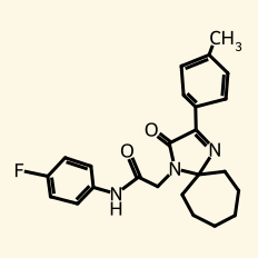 Cc1ccc(C2=NC3(CCCCCC3)N(CC(=O)Nc3ccc(F)cc3)C2=O)cc1